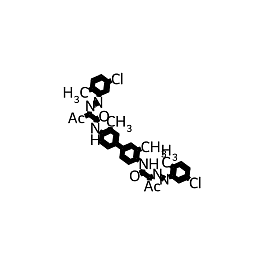 CC(=O)C(N=Nc1cc(Cl)ccc1C)C(=O)Nc1ccc(-c2ccc(NC(=O)C(N=Nc3cc(Cl)ccc3C)C(C)=O)c(C)c2)cc1C